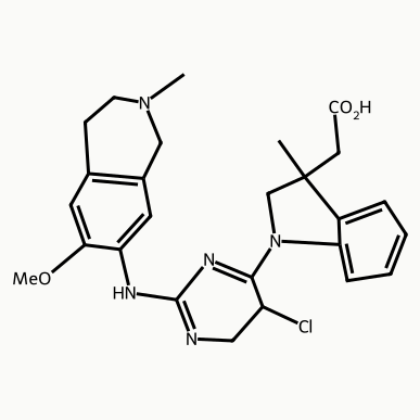 COc1cc2c(cc1NC1=NCC(Cl)C(N3CC(C)(CC(=O)O)c4ccccc43)=N1)CN(C)CC2